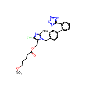 CCCCc1nc(Cl)c(COC(=O)CCCCO[N+](=O)[O-])n1Cc1ccc(-c2ccccc2-c2nnn[nH]2)cc1